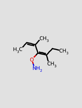 C/C=C(C)\C(ON)=C(\C)CC